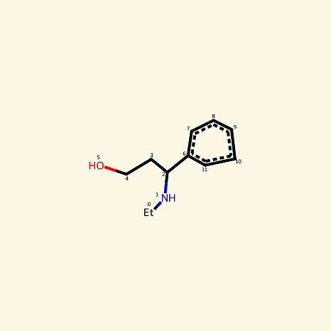 CCNC(CCO)c1ccccc1